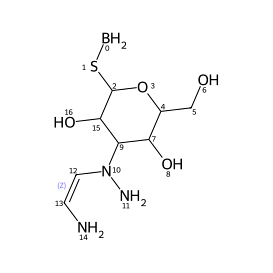 BSC1OC(CO)C(O)C(N(N)/C=C\N)C1O